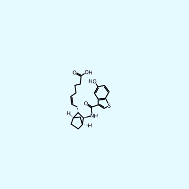 O=C(O)CCC/C=C\C[C@H]1[C@@H]2CC[C@@H](C2)[C@@H]1NC(=O)c1csc2ccc(O)cc12